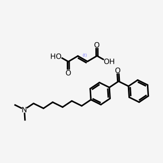 CN(C)CCCCCCc1ccc(C(=O)c2ccccc2)cc1.O=C(O)/C=C/C(=O)O